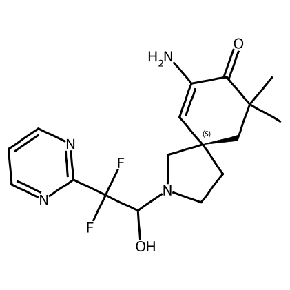 CC1(C)C[C@@]2(C=C(N)C1=O)CCN(C(O)C(F)(F)c1ncccn1)C2